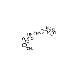 Cc1cccc(C(=O)NCC(=O)NC2CN(C3CCC(c4noc(C(Cl)(Cl)Cl)n4)CC3)C2)c1